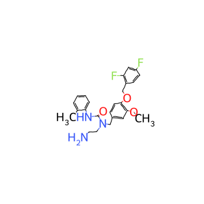 COc1cc(CN(CCN)C(=O)Nc2ccccc2C)ccc1OCc1ccc(F)cc1F